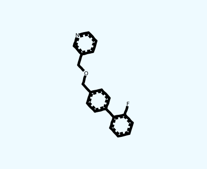 Fc1ccccc1-c1ccc(COCc2cccnc2)cc1